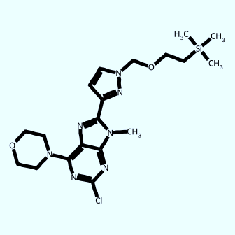 Cn1c(-c2ccn(COCC[Si](C)(C)C)n2)nc2c(N3CCOCC3)nc(Cl)nc21